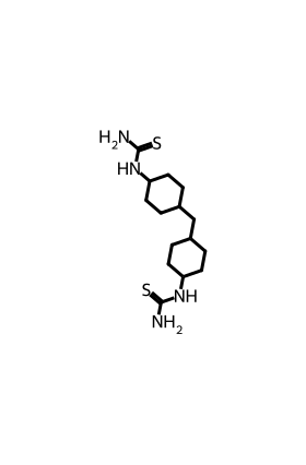 NC(=S)NC1CCC(CC2CCC(NC(N)=S)CC2)CC1